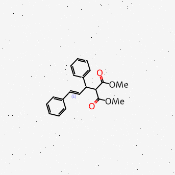 COC(=O)C(C(=O)OC)C(/C=C/c1ccccc1)c1ccccc1